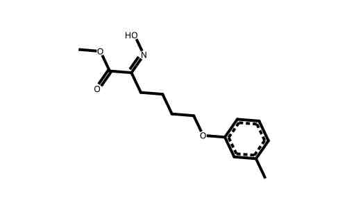 COC(=O)C(CCCCOc1cccc(C)c1)=NO